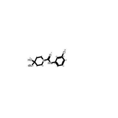 CC(C)(C)C1(O)CCN(C(=O)Nc2cccc(Cl)c2)CC1